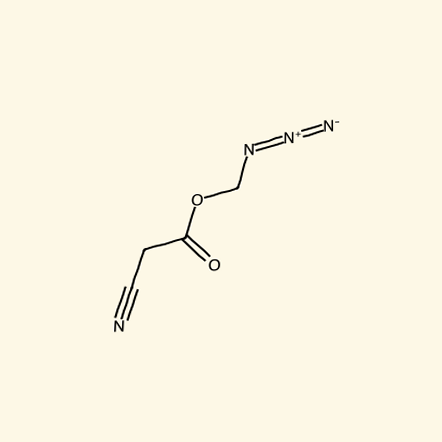 N#CCC(=O)OCN=[N+]=[N-]